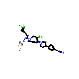 C=N/N=C(/CC1CC1(F)F)N1C=CC(N2CCC(c3ccc(C#N)cc3)CC2)=C(Br)C1